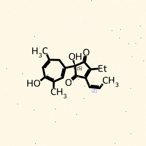 C/C=C\C1=C(CC)C(=O)[C@@](O)(C2=CC(C)=C(O)C=C(C)C2)C1=O